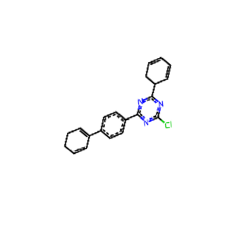 Clc1nc(-c2ccc(C3=CCCC=C3)cc2)nc(C2C=CC=CC2)n1